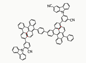 N#Cc1cc(-c2ccc(-c3cc(-c4ccc(-c5c6ccccc6c(-c6ccccc6-c6ccc(-c7ccc(C#N)c(-n8c9ccccc9c9ccccc98)c7)cc6)c6ccccc56)cc4)ccc3-c3c4ccccc4c(-c4ccccc4)c4ccccc34)cc2)cc(-n2c3ccccc3c3cc(C#N)ccc32)c1